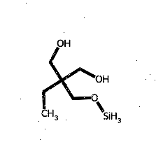 CCC(CO)(CO)CO[SiH3]